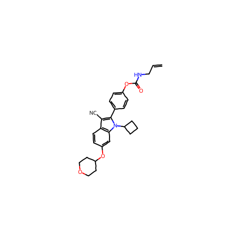 C=CCNC(=O)Oc1ccc(-c2c(C#N)c3ccc(OC4CCOCC4)cc3n2C2CCC2)cc1